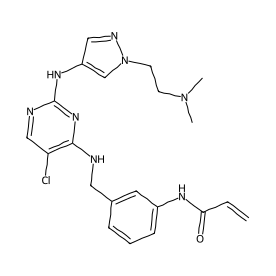 C=CC(=O)Nc1cccc(CNc2nc(Nc3cnn(CCN(C)C)c3)ncc2Cl)c1